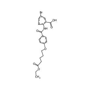 CCOC(=O)CCCCOc1ccc(C(=O)Nc2ccc(Br)cc2C(=O)O)cc1